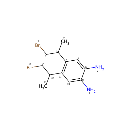 CC(CBr)c1cc(N)c(N)cc1C(C)CBr